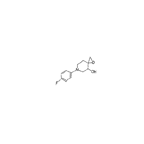 OC1CN(c2ccc(F)cc2)CCC12CO2